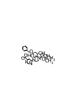 CC(CC(=O)OCc1ccccc1)[C@@H]1CN(c2cc(C(=O)O)ncn2)CCN1C(=O)OC(C)(C)C